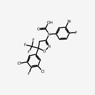 O=C(O)N(C1=NOC(c2cc(Cl)c(F)c(Cl)c2)(C(F)(F)F)C1)c1ccc(F)c(Br)c1